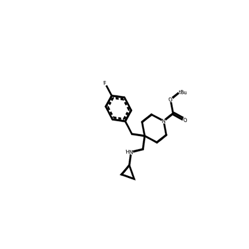 CC(C)(C)OC(=O)N1CCC(CNC2CC2)(Cc2ccc(F)cc2)CC1